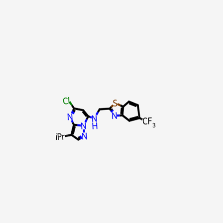 CC(C)c1cnn2c(NCc3nc4cc(C(F)(F)F)ccc4s3)cc(Cl)nc12